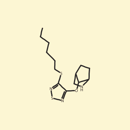 CCCCCCSc1nsnc1OC1C2CCC1NC2